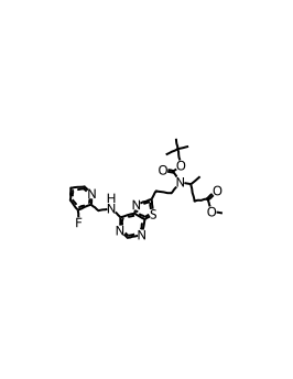 COC(=O)CC(C)N(CCc1nc2c(NCc3ncccc3F)ncnc2s1)C(=O)OC(C)(C)C